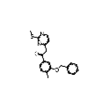 CSc1nccc(CC(=O)c2ccc(C)c(OCc3ccccc3)c2)n1